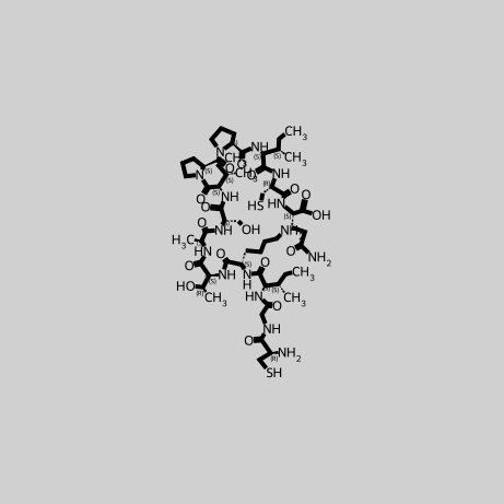 CC[C@H](C)[C@H](NC(=O)CNC(=O)[C@@H](N)CS)C(=O)N[C@@H](CCCCN)C(=O)N[C@H](C(=O)N[C@@H](C)C(=O)N[C@@H](CO)C(=O)N[C@H](C(=O)N1CCC[C@H]1C(=O)N1CCC[C@H]1C(=O)N[C@H](C(=O)N[C@@H](CS)C(=O)N[C@@H](CCC(N)=O)C(=O)O)[C@@H](C)CC)[C@@H](C)CC)[C@@H](C)O